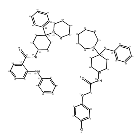 O=C(COc1ccc(Cl)cc1)NC1CCC(Cc2ccccc2)(N2CCCCCC2)CC1.O=C(NC1CCC(c2ccccc2)(N2CCCCC2)CC1)c1ccccc1Nc1ccccc1